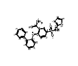 NC(=O)c1cc(S(=O)(=O)Nc2nccs2)ccc1Oc1ccccc1-c1ccccc1